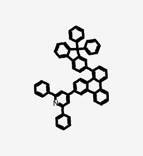 c1ccc(-c2cc(-c3ccc4c(c3)c3ccccc3c3cccc(-c5ccc6c(c5)C(c5ccccc5)(c5ccccc5)c5ccccc5-6)c34)cc(-c3ccccc3)n2)cc1